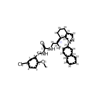 COc1ccc(Cl)cc1SNC(=O)NC/C(F)=C1\CCCc2cnn(-c3ccc4ccccc4c3)c21